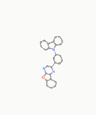 c1cc(-c2cnc3oc4ccccc4c3n2)cc(-n2c3ccccc3c3ccccc32)c1